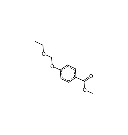 CCOCOc1ccc(C(=O)OC)cc1